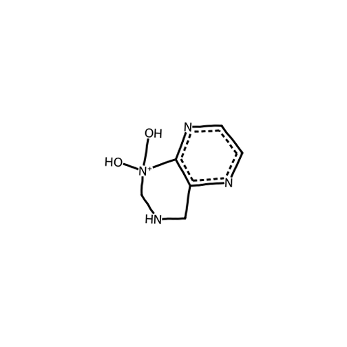 O[N+]1(O)CNCc2nccnc21